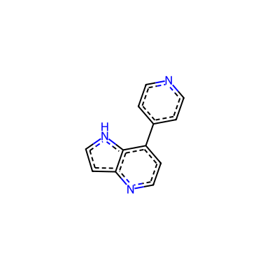 c1cc(-c2ccnc3cc[nH]c23)ccn1